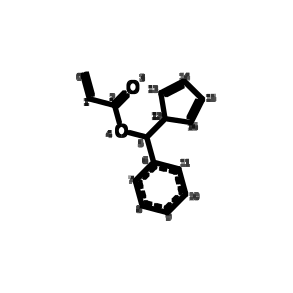 C=CC(=O)OC(c1ccccc1)C1C=CC=C1